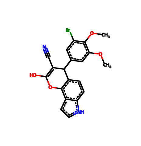 COc1cc(C2C(C#N)=C(O)Oc3c2ccc2[nH]ccc32)cc(Br)c1OC